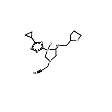 C#CCN1CC(NCC2CCCO2)[N+]([O-])(c2nnc(C3CC3)s2)C1